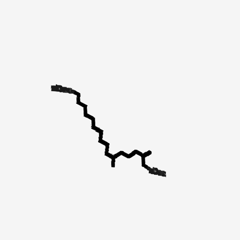 CCCCCCCCCCCCCCCCCCCCC(C)CCCC(C)CCCCCCCCCCC